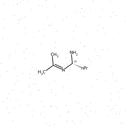 CCC[C@@H](N)N=C(C)C